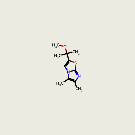 COC(C)(C)c1cn2c(C)c(C)nc2s1